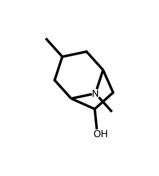 CC1CC2CC(O)C(C1)N2C